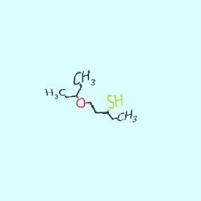 CCC(S)CCOC(CC)CC